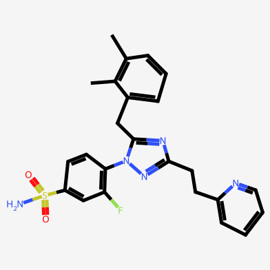 Cc1cccc(Cc2nc(CCc3ccccn3)nn2-c2ccc(S(N)(=O)=O)cc2F)c1C